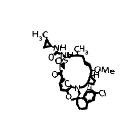 CO[C@H]1/C=C/C[C@H](C)CS(=O)(NC(=O)N[C@H]2C[C@@H]2C)=NC(=O)c2ccc3c(c2)N(C[C@@H]2CC[C@H]21)C[C@@]1(CCCc2cc(Cl)ccc21)CO3